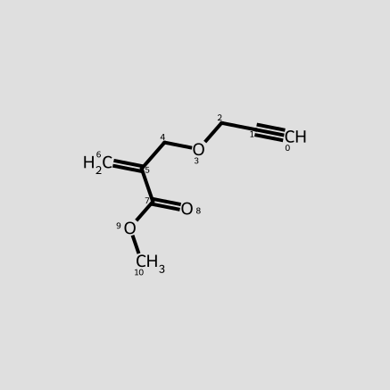 C#CCOCC(=C)C(=O)OC